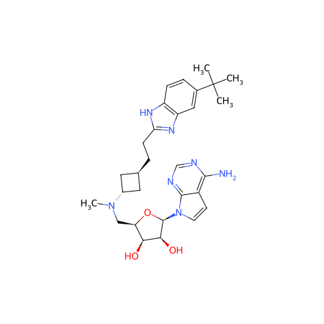 CN(C[C@H]1O[C@@H](n2ccc3c(N)ncnc32)[C@@H](O)[C@H]1O)[C@H]1C[C@H](CCc2nc3cc(C(C)(C)C)ccc3[nH]2)C1